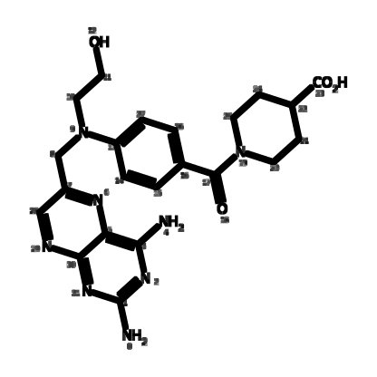 Nc1nc(N)c2nc(CN(CCO)c3ccc(C(=O)N4CCC(C(=O)O)CC4)cc3)cnc2n1